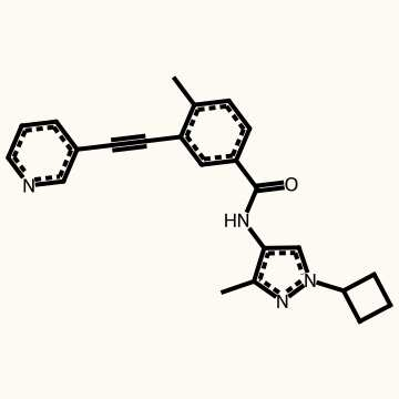 Cc1ccc(C(=O)Nc2cn(C3CCC3)nc2C)cc1C#Cc1cccnc1